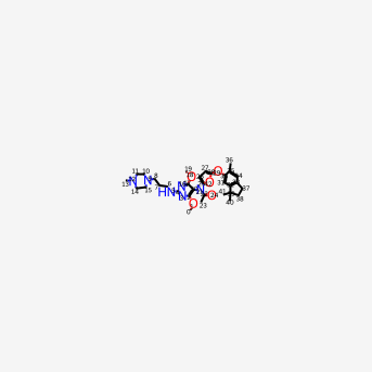 COc1nc(NCCCN2CCN(C)CC2)nc(OC)c1N(C(C)=O)c1ccc(Oc2cc3c(cc2C)CCC3(C)C)o1